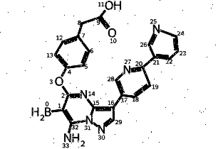 Bc1c(Oc2ccc(CC(=O)O)cc2)nc2c(-c3ccc(-c4cccnc4)nc3)cnn2c1N